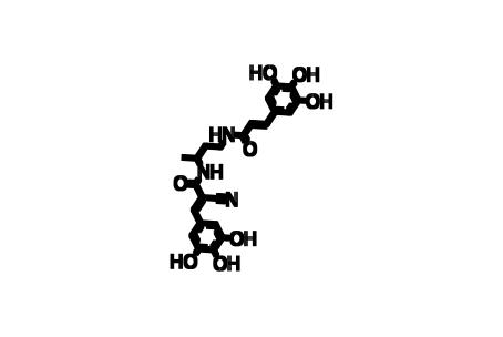 CC(CCNC(=O)C=Cc1cc(O)c(O)c(O)c1)NC(=O)C(C#N)=Cc1cc(O)c(O)c(O)c1